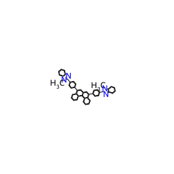 Cn1c(-c2ccc(-c3cc4cc(-c5ccc(-c6nc7ccccc7n6C)cc5)c5ccccc5c4c4ccccc34)cc2)nc2ccccc21